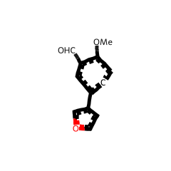 COc1ccc(-c2ccoc2)cc1C=O